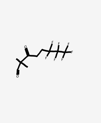 CC(C)(C=O)C(=O)CCC(F)(F)C(F)(F)C(F)(F)F